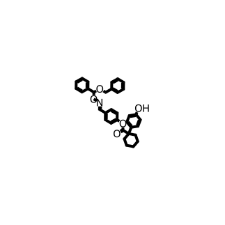 O=C(Oc1ccc(C=NOC(OCc2ccccc2)c2ccccc2)cc1)C1(c2ccc(O)cc2)CCCCC1